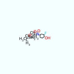 CC(C)(C)[SiH2]OC(C)(C)[C@H]1CN(c2ccc(O)c(F)c2)C(=O)O1